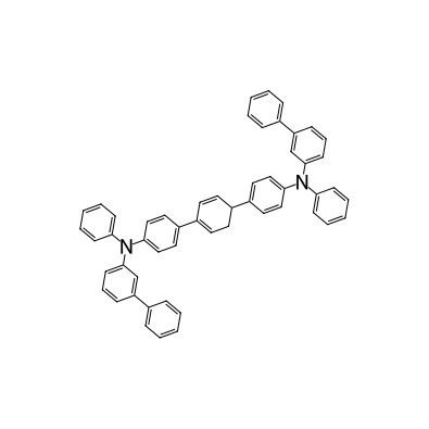 C1=CC(c2ccc(N(c3ccccc3)c3cccc(-c4ccccc4)c3)cc2)CC=C1c1ccc(N(c2ccccc2)c2cccc(-c3ccccc3)c2)cc1